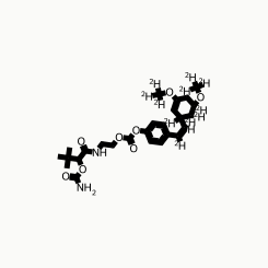 [2H]C(=C([2H])C1([2H])C=C(OC([2H])([2H])[2H])CC([2H])(OC([2H])([2H])[2H])C1([2H])[2H])c1ccc(OC(=O)OCCNC(=O)C(OC(N)=O)C(C)(C)C)cc1